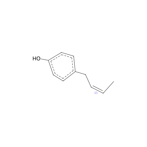 C/C=C\Cc1ccc(O)cc1